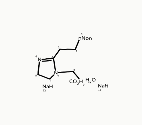 CCCCCCCCCCCC1=NCCN1CC(=O)O.O.[NaH].[NaH]